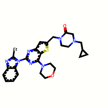 CCc1nc2ccccc2n1-c1nc(N2CCOCC2)c2sc(CN3CCN(CC4CC4)CC3=O)cc2n1